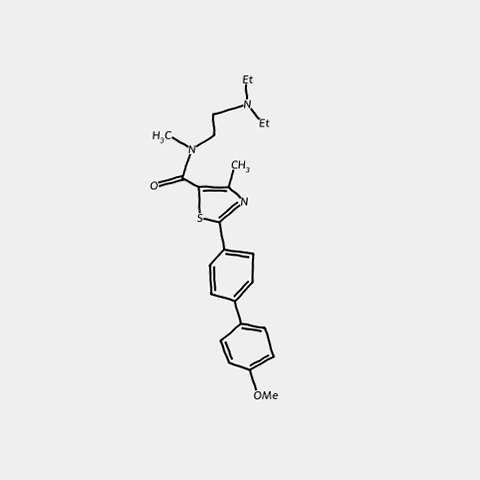 CCN(CC)CCN(C)C(=O)c1sc(-c2ccc(-c3ccc(OC)cc3)cc2)nc1C